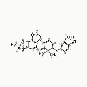 CC1(C)C(=O)C(C2CNOc3cc(NS(C)(=O)=O)ccc32)=CC=C1Cc1ccc(Cl)c(C(=O)O)c1